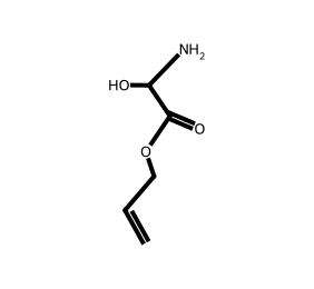 C=CCOC(=O)C(N)O